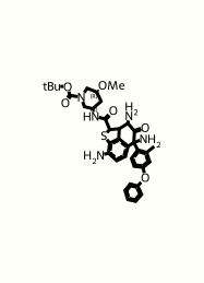 CO[C@@H]1C[C@@H](NC(=O)C2Sc3c(N)ccc4c3C2C(N)C(=O)C4(N)c2ccc(Oc3ccccc3)cc2C)CN(C(=O)OC(C)(C)C)C1